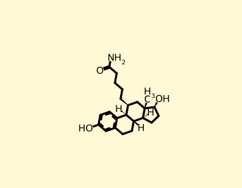 C[C@]12C[C@H](CCCCC(N)=O)[C@@H]3c4ccc(O)cc4CC[C@H]3[C@@H]1CC[C@@H]2O